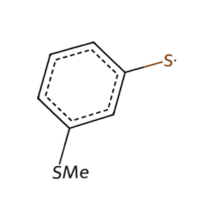 CSc1cccc([S])c1